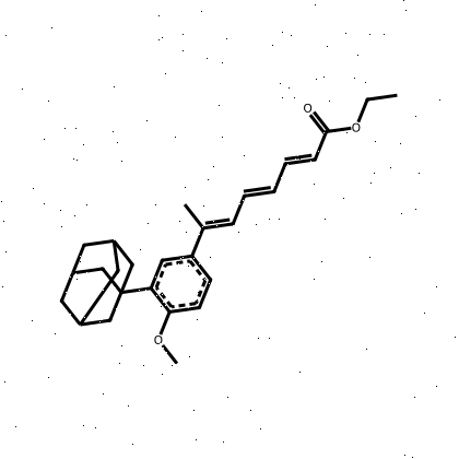 CCOC(=O)/C=C/C=C/C=C(\C)c1ccc(OC)c(C23CC4CC(CC(C4)C2)C3)c1